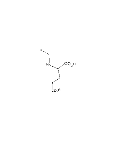 O=C(O)CCC(NCF)C(=O)O